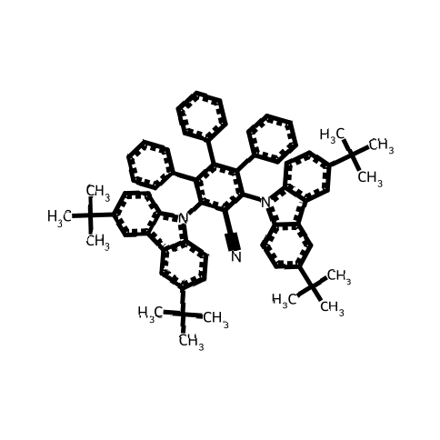 CC(C)(C)c1ccc2c(c1)c1cc(C(C)(C)C)ccc1n2-c1c(C#N)c(-n2c3ccc(C(C)(C)C)cc3c3cc(C(C)(C)C)ccc32)c(-c2ccccc2)c(-c2ccccc2)c1-c1ccccc1